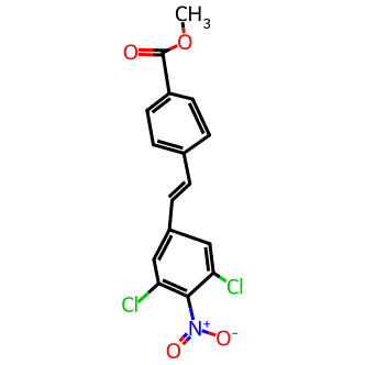 COC(=O)c1ccc(/C=C/c2cc(Cl)c([N+](=O)[O-])c(Cl)c2)cc1